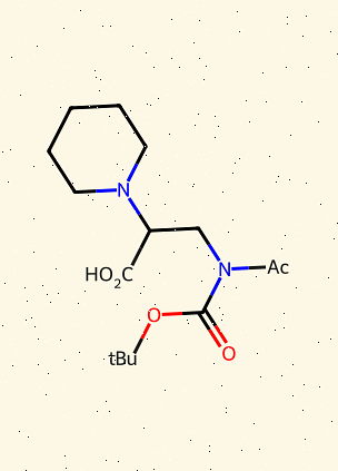 CC(=O)N(CC(C(=O)O)N1CCCCC1)C(=O)OC(C)(C)C